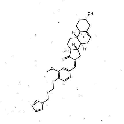 COc1cc(/C=C2/C[C@H]3[C@@H]4CC=C5C[C@@H](O)CC[C@]5(C)[C@H]4CC[C@]3(C)C2=O)ccc1OCCCn1ccnc1